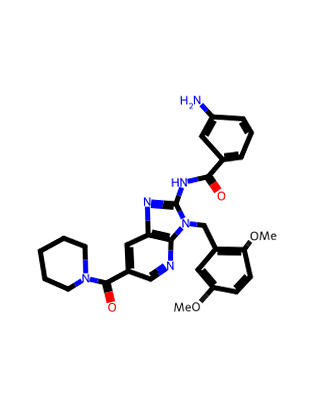 COc1ccc(OC)c(Cn2c(NC(=O)c3cccc(N)c3)nc3cc(C(=O)N4CCCCC4)cnc32)c1